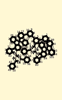 c1ccc(-c2cc(-c3cccc(-c4cccc(C5(c6ccccc6)c6ccccc6-c6c5ccc5c6c6ccccc6n5-c5nc(-c6ccccc6)nc(-c6ccccc6)n5)c4)c3)cc(-c3nc(-c4ccccc4)nc(-n4c5ccccc5c5ccc6c(c54)-c4ccccc4C64c5ccccc5-c5ccccc54)n3)c2)cc1